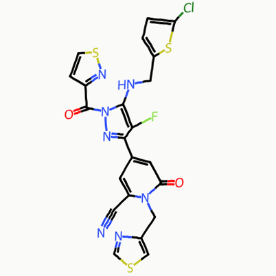 N#Cc1cc(-c2nn(C(=O)c3ccsn3)c(NCc3ccc(Cl)s3)c2F)cc(=O)n1Cc1cscn1